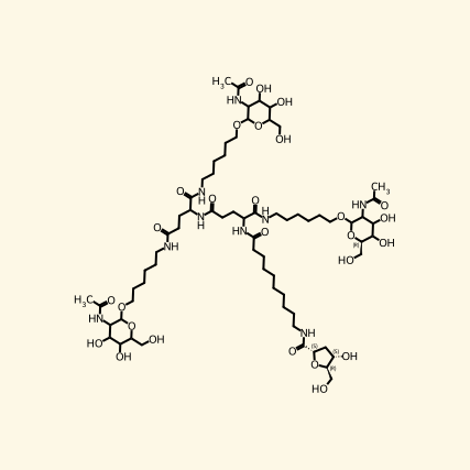 CC(=O)NC1C(OCCCCCCNC(=O)CCC(NC(=O)CCC(NC(=O)CCCCCCCCCNC(=O)[C@@H]2C[C@H](O)[C@@H](CO)O2)C(=O)NCCCCCCOC2O[C@H](CO)C(O)C(O)C2NC(C)=O)C(=O)NCCCCCCOC2OC(CO)C(O)C(O)C2NC(C)=O)OC(CO)C(O)C1O